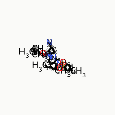 CCc1cc(C)c2c(ccn2S(=O)(=O)c2ccc(C)cc2)c1Cc1nc2ccc(C#N)cc2n1COCC[Si](C)(C)C